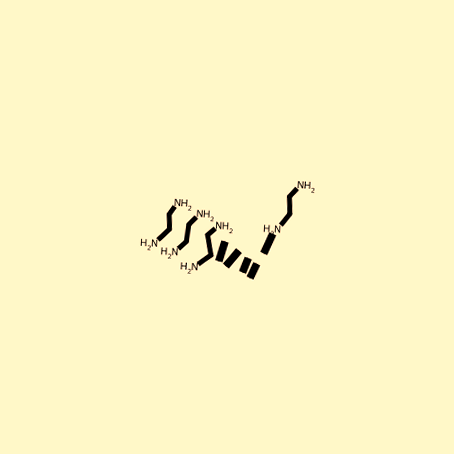 C=C.C=C.C=C.C=C.C=C.NCCN.NCCN.NCCN.NCCN